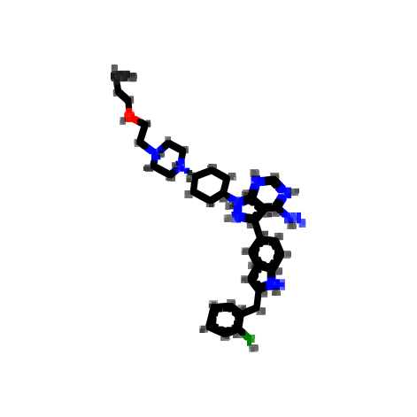 COCCOCCN1CCN([C@H]2CC[C@H](n3nc(-c4ccc5[nH]c(Cc6ccccc6F)cc5c4)c4c(N)ncnc43)CC2)CC1